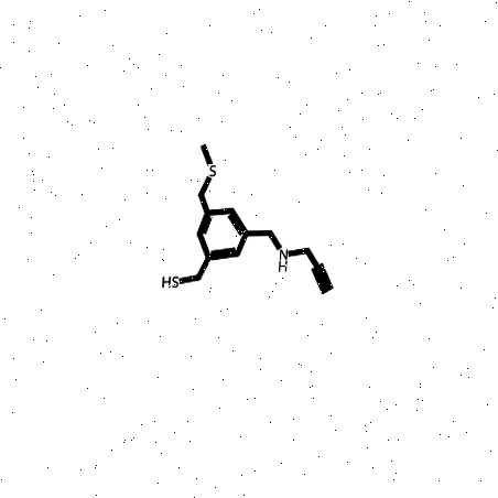 C#CCNCc1cc(CS)cc(CSC)c1